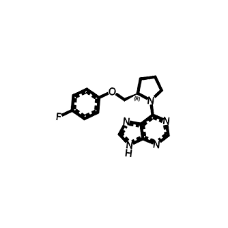 Fc1ccc(OC[C@H]2CCCN2c2ncnc3[nH]cnc23)cc1